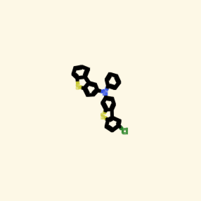 Clc1ccc2sc3cc(N(c4ccccc4)c4ccc5sc6ccccc6c5c4)ccc3c2c1